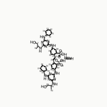 CC(CO)Nc1nc(Nc2ccccc2)nc(Nc2ccc(C=Cc3ccc(Nc4nc(Nc5ccccc5)nc(NC(C)CO)n4)cc3S(=O)(=O)O)c(S(=O)(=O)O)c2)n1.[NaH].[NaH]